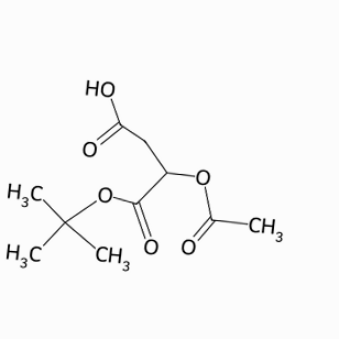 CC(=O)OC(CC(=O)O)C(=O)OC(C)(C)C